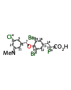 CNc1cc(Cl)cc(COc2c(Br)cc(CC(F)C(=O)O)cc2Br)c1